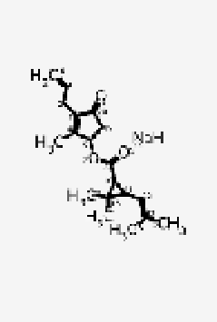 C=CCC1=C(C)C(OC(=O)C2C(C=C(C)C)C2(C)C)CC1=O.[NaH]